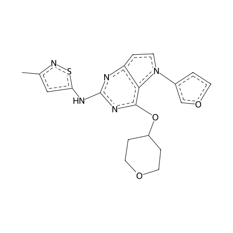 Cc1cc(Nc2nc(OC3CCOCC3)c3c(ccn3-c3ccoc3)n2)sn1